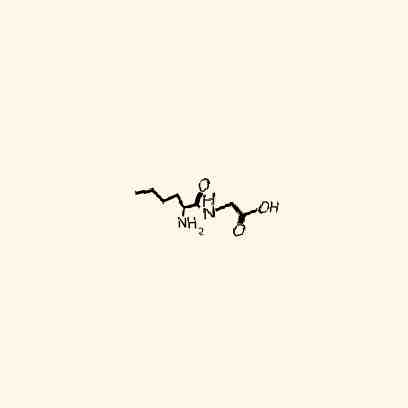 CCCC[C@H](N)C(=O)NCC(=O)O